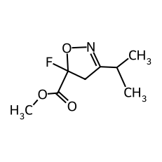 COC(=O)C1(F)CC(C(C)C)=NO1